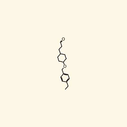 CCc1ccc(COC2CCC(CCC=O)CC2)cc1